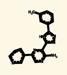 Cc1cccc(-c2nnc(-c3nc(-c4cccnc4)cnc3N)[nH]2)c1